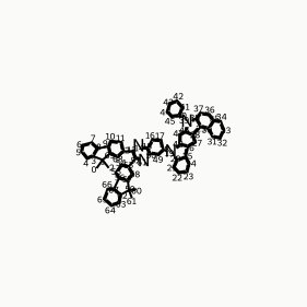 CC1(C)c2ccccc2-c2ccc(-c3nc4ccc(-n5c6ccccc6c6cc7c8c9ccccc9ccc8n(-c8ccccc8)c7cc65)cc4nc3-c3ccc4c(c3)C(C)(C)c3ccccc3-4)cc21